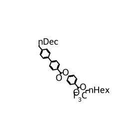 CCCCCCCCCCCc1ccc(-c2ccc(C(=O)Oc3ccc(C(=O)OC(CCCCCC)C(F)(F)F)cc3)cc2)cc1